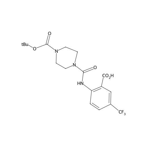 CC(C)(C)OC(=O)N1CCN(C(=O)Nc2ccc(C(F)(F)F)cc2C(=O)O)CC1